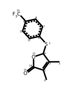 CC1=C(C)C(Sc2ccc(C(F)(F)F)cc2)OC1=O